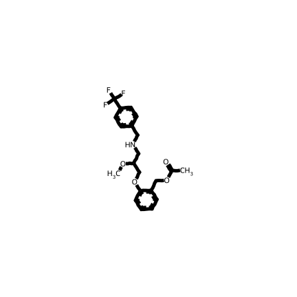 COC(CNCc1ccc(C(F)(F)F)cc1)COc1ccccc1COC(C)=O